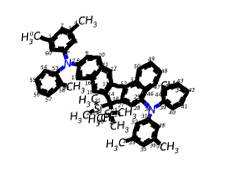 Cc1cc(C)cc(N(c2ccc3cc4c(cc3c2)C([Si](C)(C)C)([Si](C)(C)C)c2cc(N(c3cc(C)cc(C)c3)c3ccccc3C)c3ccccc3c2-4)c2ccccc2C)c1